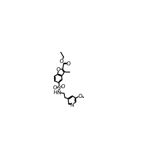 CCOC(=O)c1oc2ccc(S(=O)(=O)NCCc3cncc(OC)c3)cc2c1C